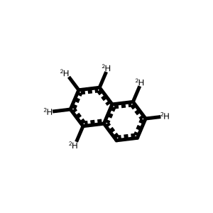 [2H]c1ccc2c([2H])c([2H])c([2H])c([2H])c2c1[2H]